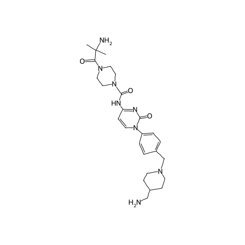 CC(C)(N)C(=O)N1CCN(C(=O)Nc2ccn(-c3ccc(CN4CCC(CN)CC4)cc3)c(=O)n2)CC1